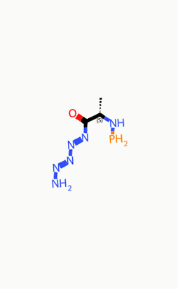 C[C@H](NP)C(=O)N=NN=NN